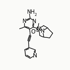 Cc1nc(N)nc(N2CC3CCC(C2)N3[S+](C)[O-])c1C#Cc1cccnc1